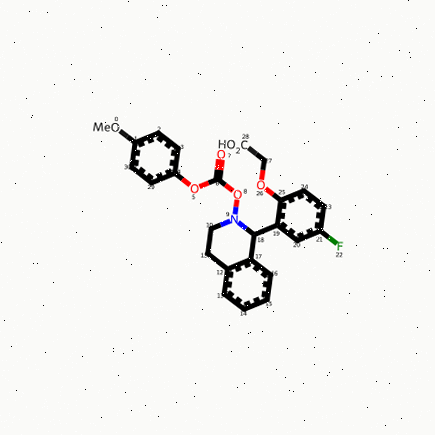 COc1ccc(OC(=O)ON2CCc3ccccc3C2c2cc(F)ccc2OCC(=O)O)cc1